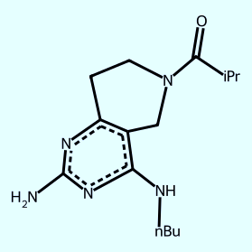 CCCCNc1nc(N)nc2c1CN(C(=O)C(C)C)CC2